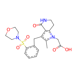 Cc1c(Cc2ccccc2S(=O)(=O)N2CCOCC2)c2c(n1CC(=O)O)CCNC2=O